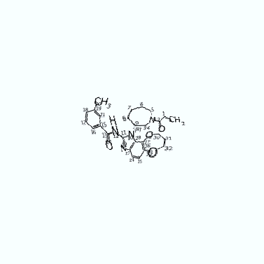 C=CC(=O)N1CCCC[C@@H](n2c(NC(=O)c3cccc(C)c3)nc3ccc4c(c32)OCCCO4)C1